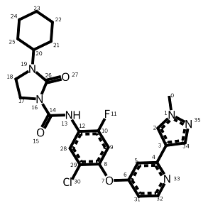 Cn1cc(-c2cc(Oc3cc(F)c(NC(=O)N4CCN(C5CCCCC5)C4=O)cc3Cl)ccn2)cn1